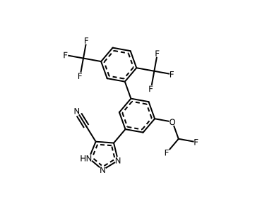 N#Cc1[nH]nnc1-c1cc(OC(F)F)cc(-c2cc(C(F)(F)F)ccc2C(F)(F)F)c1